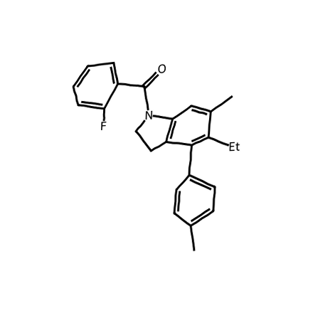 CCc1c(C)cc2c(c1-c1ccc(C)cc1)CCN2C(=O)c1ccccc1F